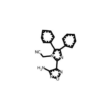 N#CCn1c(-c2nonc2N)nc(-c2ccccc2)c1-c1ccccc1